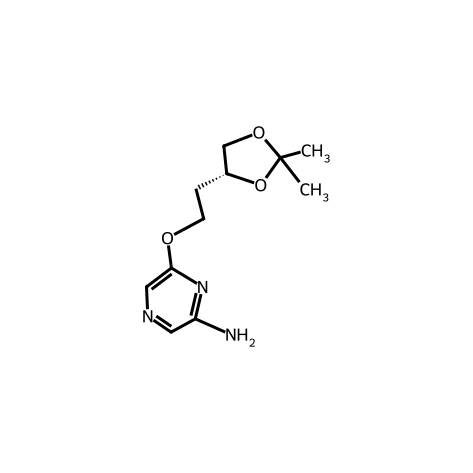 CC1(C)OC[C@@H](CCOc2cncc(N)n2)O1